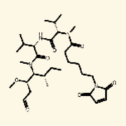 CC[C@H](C)[C@@H]([C@@H](CC=O)OC)N(C)C(=O)[C@@H](NC(=O)[C@H](C(C)C)N(C)C(=O)CCCCCN1C(=O)C=CC1=O)C(C)C